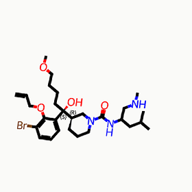 C=CCOc1c(Br)cccc1[C@](O)(CCCCOC)[C@@H]1CCCN(C(=O)NC(CNC)CC(C)C)C1